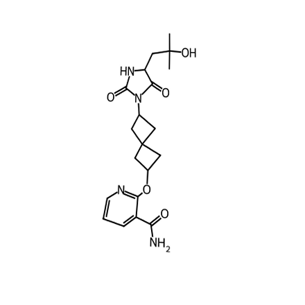 CC(C)(O)CC1NC(=O)N(C2CC3(CC(Oc4ncccc4C(N)=O)C3)C2)C1=O